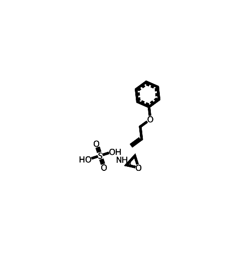 C1CO1.C=CCOc1ccccc1.N.O=S(=O)(O)O